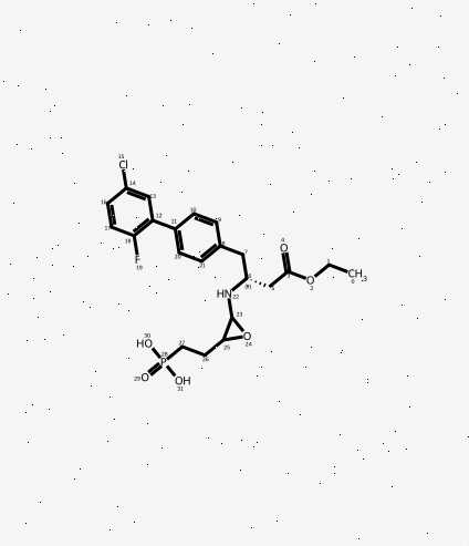 CCOC(=O)C[C@@H](Cc1ccc(-c2cc(Cl)ccc2F)cc1)NC1OC1CCP(=O)(O)O